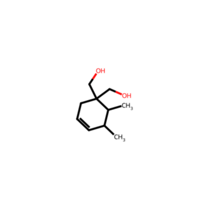 CC1C=CCC(CO)(CO)C1C